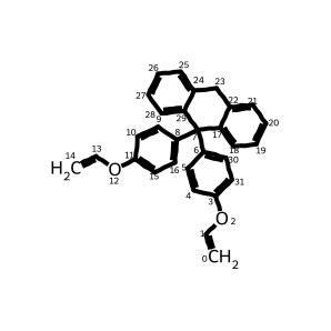 C=COc1ccc(C2(c3ccc(OC=C)cc3)c3ccccc3Cc3ccccc32)cc1